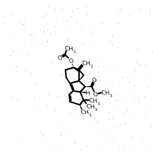 C=C1C[C@]23C[C@@]1(OC(C)=O)CCC2=C1C=C[C@H](C)C(C)(C)[C@H]1[C@@H]3C(=O)OC